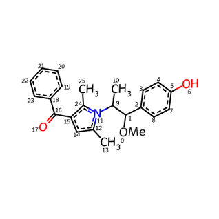 COC(c1ccc(O)cc1)C(C)n1c(C)cc(C(=O)c2ccccc2)c1C